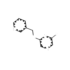 Brc1cncc(OCc2cccnc2)n1